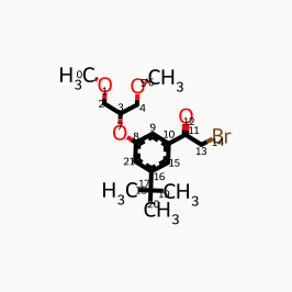 COCC(COC)Oc1cc(C(=O)CBr)cc(C(C)(C)C)c1